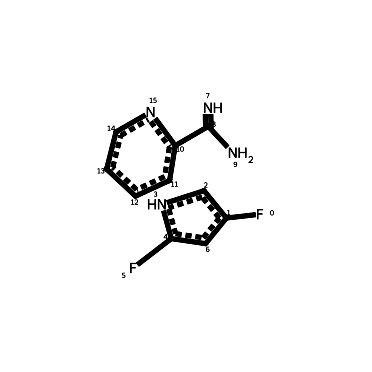 Fc1c[nH]c(F)c1.N=C(N)c1ccccn1